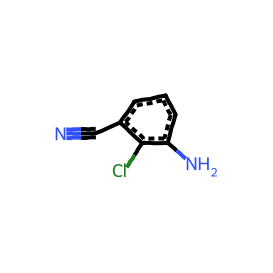 N#Cc1cccc(N)c1Cl